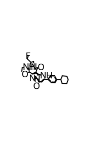 O=C(c1c(C2CNCCO2)nn2c(=O)cc(-c3ccc(C4CCCCC4)cc3)[nH]c12)N1CC(CF)C1